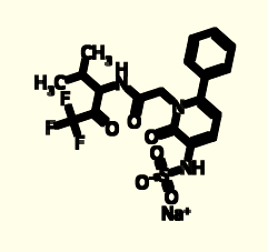 CC(C)C(NC(=O)Cn1c(-c2ccccc2)ccc(NS(=O)(=O)[O-])c1=O)C(=O)C(F)(F)F.[Na+]